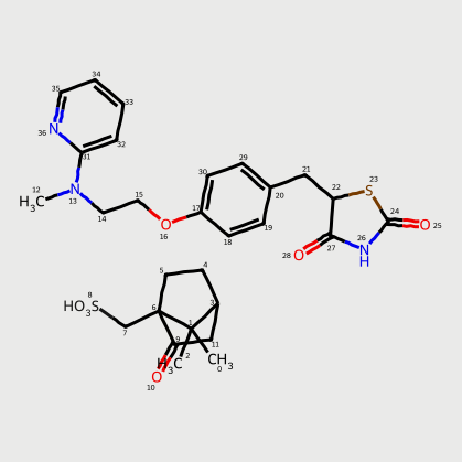 CC1(C)C2CCC1(CS(=O)(=O)O)C(=O)C2.CN(CCOc1ccc(CC2SC(=O)NC2=O)cc1)c1ccccn1